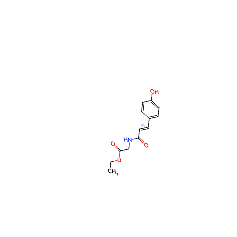 CCOC(=O)CNC(=O)/C=C/c1ccc(O)cc1